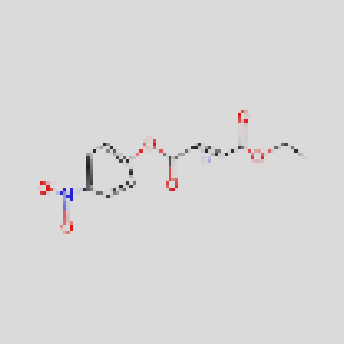 CCOC(=O)/C=C/C(=O)Oc1ccc([N+](=O)[O-])cc1